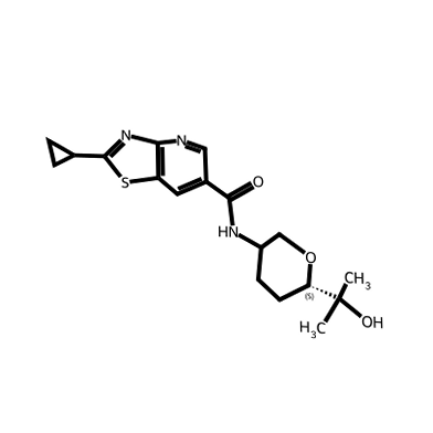 CC(C)(O)[C@@H]1CCC(NC(=O)c2cnc3nc(C4CC4)sc3c2)CO1